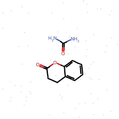 NC(N)=O.O=C1CCc2ccccc2O1